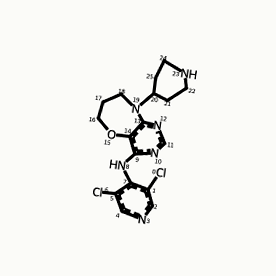 Clc1cncc(Cl)c1Nc1ncnc2c1OCCCN2C1CCNCC1